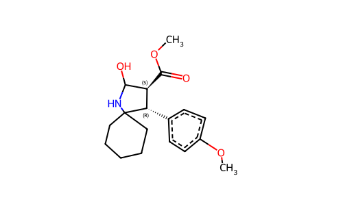 COC(=O)[C@@H]1C(O)NC2(CCCCC2)[C@H]1c1ccc(OC)cc1